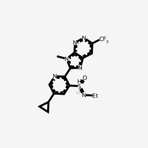 CC/N=[SH](=O)/c1cc(C2CC2)cnc1-c1nc2cc(C(F)(F)F)nnc2n1C